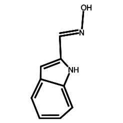 ON=Cc1cc2ccccc2[nH]1